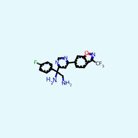 NCC(N)(c1ccc(F)cc1)c1cc(-c2ccc3c(C(F)(F)F)noc3c2)ncn1